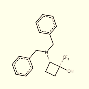 O[C@@]1(C(F)(F)F)CC[C@@H]1N(Cc1ccccc1)Cc1ccccc1